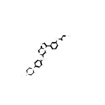 C=CC(=O)Nc1cccc(-c2cnc3cnc(Nc4ccc(N5CCN(C)CC5)cc4)cn23)c1